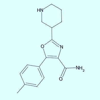 Cc1ccc(-c2oc(C3CCCNC3)nc2C(N)=O)cc1